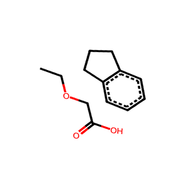 CCOCC(=O)O.c1ccc2c(c1)CCC2